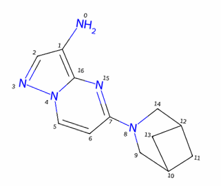 Nc1cnn2ccc(N3CC4CC(C4)C3)nc12